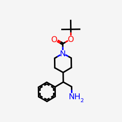 CC(C)(C)OC(=O)N1CCC(C(CN)c2ccccc2)CC1